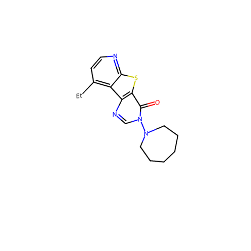 CCc1ccnc2sc3c(=O)n(N4CCCCCC4)cnc3c12